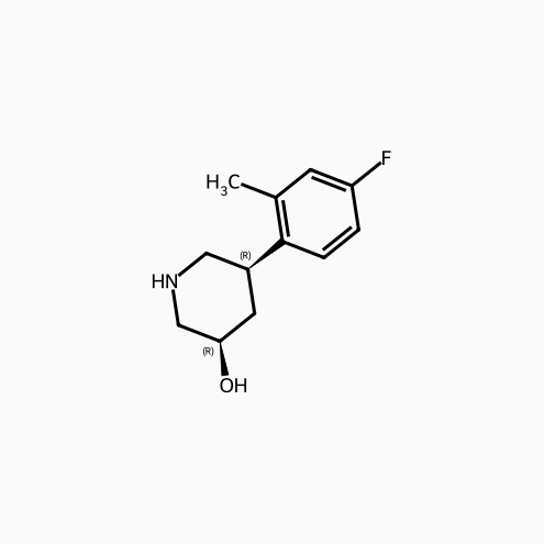 Cc1cc(F)ccc1[C@@H]1CNC[C@H](O)C1